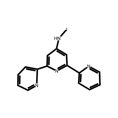 INc1cc(-c2ccccn2)nc(-c2ccccn2)c1